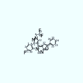 Fc1ccc(-c2nn(CC(F)F)cc2-c2ncnc3oc(-c4ccccc4)cc23)cc1